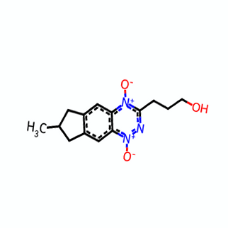 CC1Cc2cc3c(cc2C1)[n+]([O-])c(CCCO)n[n+]3[O-]